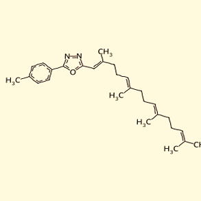 CC(C)=CCC/C(C)=C/CC/C(C)=C/CC/C(C)=C/c1nnc(-c2ccc(C)cc2)o1